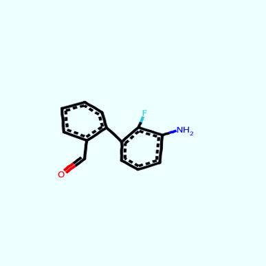 Nc1cccc(-c2ccccc2C=O)c1F